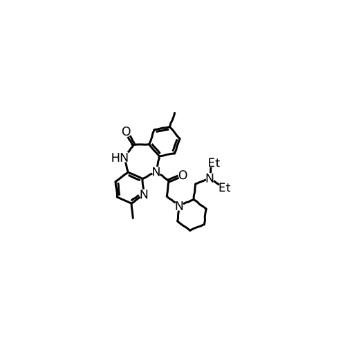 CCN(CC)CC1CCCCN1CC(=O)N1c2ccc(C)cc2C(=O)Nc2ccc(C)nc21